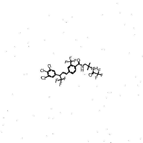 CC(C)(CNC(=O)c1ccc(C=CC(c2cc(Cl)c(Cl)c(Cl)c2)C(F)(F)F)cc1C(F)(F)F)NC(=O)C(F)(F)F